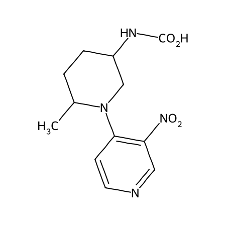 CC1CCC(NC(=O)O)CN1c1ccncc1[N+](=O)[O-]